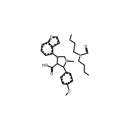 CCCCN(C=O)CCCC.COc1ccc(C2C(C(=O)O)C(c3cccc4occc34)CN2C)cc1